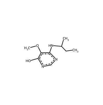 CCC(C)Nc1n[c]nc(O)c1OC